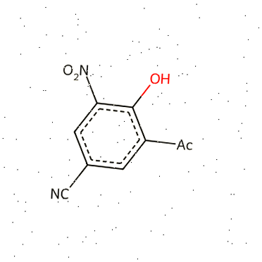 CC(=O)c1cc(C#N)cc([N+](=O)[O-])c1O